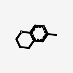 Cc1cc2c(cn1)OCCC2